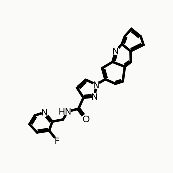 O=C(NCc1ncccc1F)c1ccn(-c2ccc3cc4ccccc4nc3c2)n1